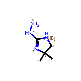 Br.CC1(C)CNC(NN)=N1